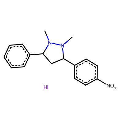 CN1C(c2ccccc2)CC(c2ccc([N+](=O)[O-])cc2)N1C.I